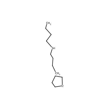 C1CCOC1.CCC[CH2][Sn][CH2]CCC